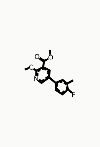 COC(=O)c1cc(-c2ccc(F)c(C)c2)cnc1OC